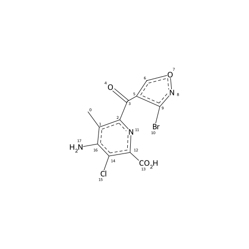 Cc1c(C(=O)c2conc2Br)nc(C(=O)O)c(Cl)c1N